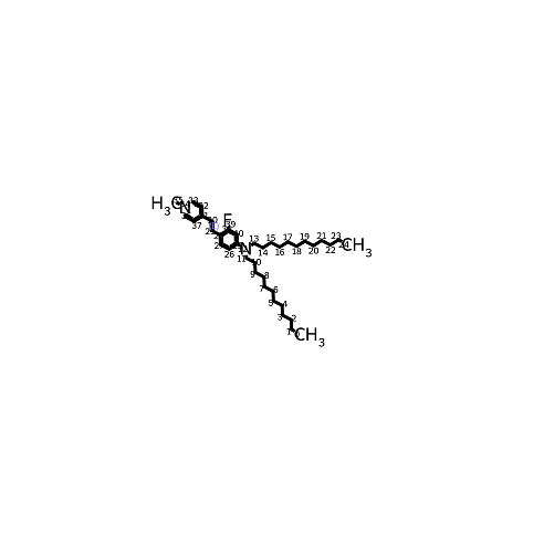 CCCCCCCCCCCCN(CCCCCCCCCCCC)c1ccc(/C=C/c2cc[n+](C)cc2)c(F)c1